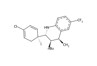 CCCC[C@@H]1[C@H](C)c2cc(C(F)(F)F)ccc2N[C@H]1[C@]1(I)C=CC(Cl)=CC1